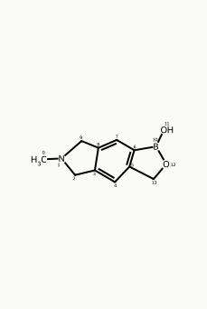 CN1Cc2cc3c(cc2C1)B(O)OC3